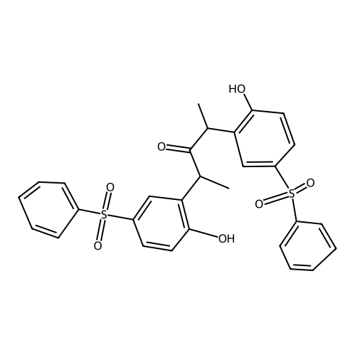 CC(C(=O)C(C)c1cc(S(=O)(=O)c2ccccc2)ccc1O)c1cc(S(=O)(=O)c2ccccc2)ccc1O